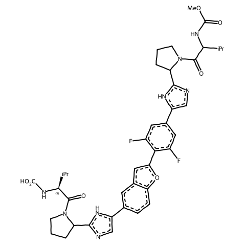 COC(=O)NC(C(=O)N1CCCC1c1ncc(-c2cc(F)c(-c3cc4cc(-c5cnc(C6CCCN6C(=O)[C@@H](NC(=O)O)C(C)C)[nH]5)ccc4o3)c(F)c2)[nH]1)C(C)C